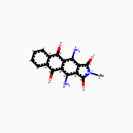 CCCCn1c(=O)c2c(N)c3c(=O)c4ccccc4c(=O)c3c(N)c2c1=O